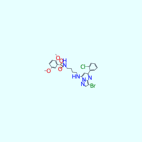 COc1ccc(OC)c(S(=O)(=O)NCCCCNc2cc(-c3ccccc3Cl)nc3c(Br)cnn23)c1